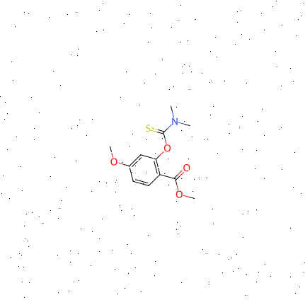 COC(=O)c1ccc(OC)cc1OC(=S)N(C)C